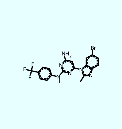 Cc1nc2ccc(Br)cc2n1-c1cc(N)nc(Nc2ccc(C(F)(F)F)cc2)n1